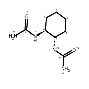 NC(=O)N[C@H]1CCCC[C@@H]1NC(N)=O